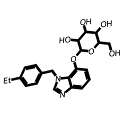 CCc1ccc(Cn2cnc3cccc(OC4OC(CO)C(O)C(O)C4O)c32)cc1